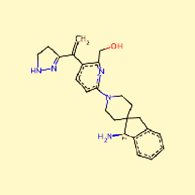 C=C(C1=NNCC1)c1ccc(N2CCC3(CC2)Cc2ccccc2[C@H]3N)nc1CO